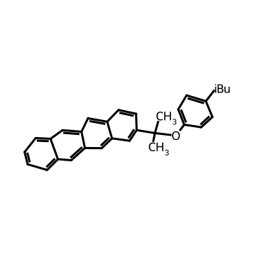 CCC(C)c1ccc(OC(C)(C)c2ccc3cc4cc5ccccc5cc4cc3c2)cc1